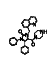 O=C(c1c(-c2ccccc2)n(-c2ccccc2)c(=O)n1Cc1cccc2cccnc12)N1CCNCC1